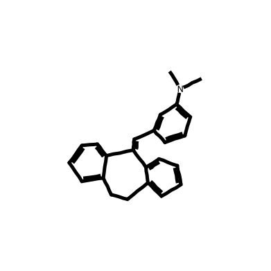 CN(C)c1cccc(C=C2c3ccccc3CCc3ccccc32)c1